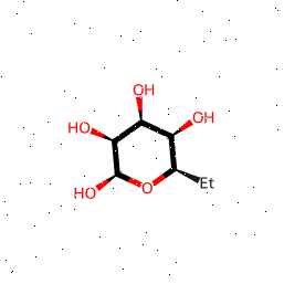 CC[C@H]1O[C@@H](O)[C@@H](O)[C@@H](O)[C@H]1O